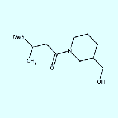 CSC(C)CC(=O)N1CCCC(CO)C1